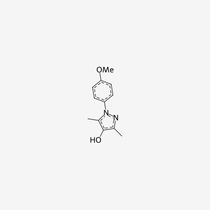 COc1ccc(-n2nc(C)c(O)c2C)cc1